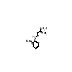 C=C(CCNc1ccccc1[N+](=O)[O-])C(=O)O